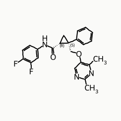 Cc1ncc(OC[C@@]2(c3ccccc3)C[C@H]2C(=O)Nc2ccc(F)c(F)c2)c(C)n1